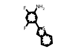 Nc1cc(-c2cc3ccccc3s2)c(F)cc1F